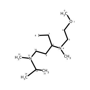 COCCN(C)C(CI)CCN(C)C(C)C